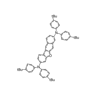 CC(C)(C)c1ccc(N(c2ccc(C(C)(C)C)cc2)c2ccc3cc4c(cc3c2)oc2cc(N(c3ccc(C(C)(C)C)cc3)c3ccc(C(C)(C)C)cc3)ccc24)cc1